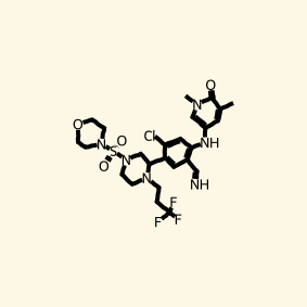 Cc1cc(Nc2cc(Cl)c(C3CN(S(=O)(=O)N4CCOCC4)CCN3CCC(F)(F)F)cc2C=N)cn(C)c1=O